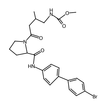 COC(=O)NCC(C)CC(=O)N1CCCC1C(=O)Nc1ccc(-c2ccc(Br)cc2)cc1